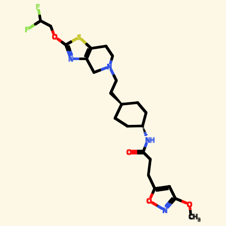 COc1cc(CCC(=O)N[C@H]2CC[C@H](CCN3CCc4sc(OCC(F)F)nc4C3)CC2)on1